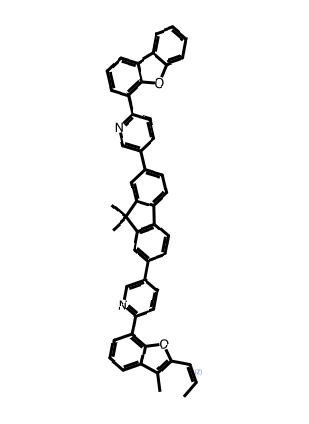 C/C=C\c1oc2c(-c3ccc(-c4ccc5c(c4)C(C)(C)c4cc(-c6ccc(-c7cccc8c7oc7ccccc78)nc6)ccc4-5)cn3)cccc2c1C